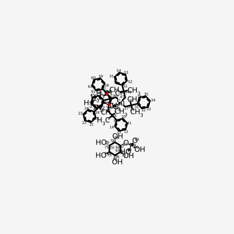 CC(C)([CH2][Sn]([CH2]C(C)(C)c1ccccc1)([CH2]C(C)(C)c1ccccc1)[O][Sn]([CH2]C(C)(C)c1ccccc1)([CH2]C(C)(C)c1ccccc1)[CH2]C(C)(C)c1ccccc1)c1ccccc1.O=P(O)(O)O[C@@H]1[C@@H](O)[C@H](O)[C@@H](O)[C@H](O)[C@@H]1O